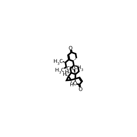 CC[C@]12CC[C@H]([C@H]3CCC(=O)C=C3[C@H](C)C(C)C)C[C@@H]1[C@@H]1C[C@@H]1[C@@]21C=CC(=O)O1